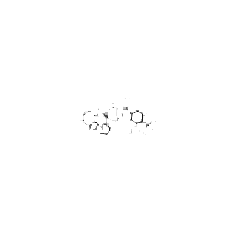 COc1cc(C(=O)N2CCC3(CC2)NC2CCCC[C@H]2n2cccc23)ccc1C(C)(C)C